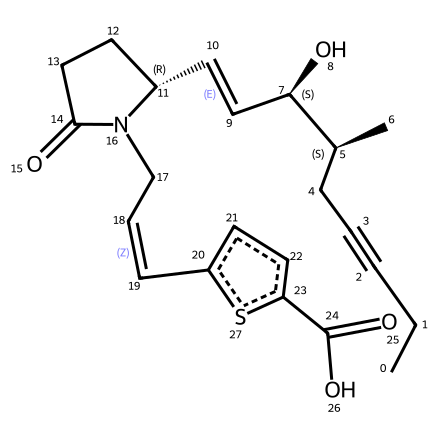 CCC#CC[C@H](C)[C@H](O)/C=C/[C@H]1CCC(=O)N1C/C=C\c1ccc(C(=O)O)s1